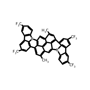 Cc1cc2c3c(cc4c(C)cc5c6c(cc1c3c46)B1c3ccc(C(F)(F)F)cc3-c3cc(C(F)(F)F)cc-5c31)B1c3ccc(C(F)(F)F)cc3-c3cc(C(F)(F)F)cc-2c31